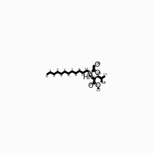 CCCCCCCCCCCCN(N[C@@H](CC(C)C)C(=O)OC)C(=O)C=O